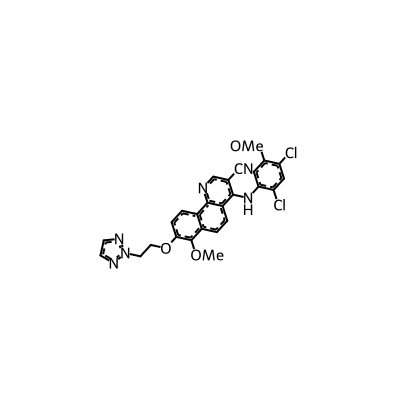 COc1cc(Nc2c(C#N)cnc3c2ccc2c(OC)c(OCCn4nccn4)ccc23)c(Cl)cc1Cl